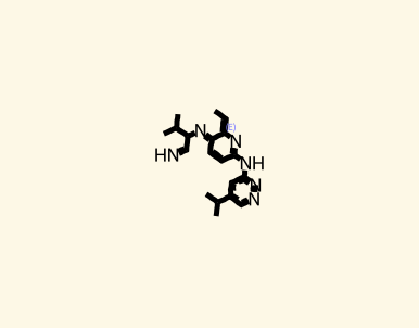 C/C=C1/N=C(Nc2cc(C(C)C)cnn2)C=CC1=NC(C=N)C(C)C